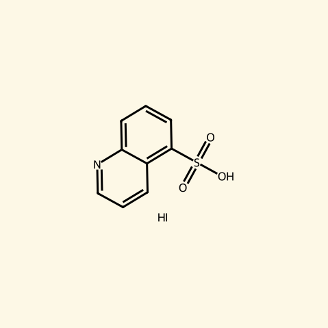 I.O=S(=O)(O)c1cccc2ncccc12